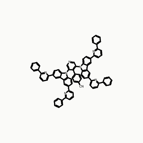 N#Cc1ccc(-c2c(-n3c4ccc(-c5cccc(-c6ccccc6)n5)cc4c4cc(-c5cccc(-c6ccccc6)n5)ccc43)cncc2-n2c3ccc(-c4cccc(-c5ccccc5)n4)cc3c3cc(-c4cccc(-c5ccccc5)n4)ccc32)cc1